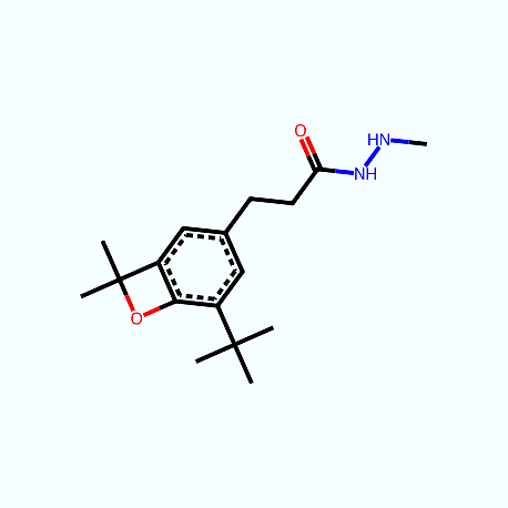 CNNC(=O)CCc1cc(C(C)(C)C)c2c(c1)C(C)(C)O2